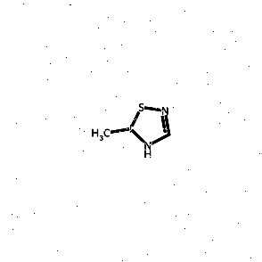 CI1NC=NS1